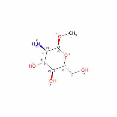 CO[C@H]1O[C@H](CO)[C@@H](O)[C@H](O)[C@H]1N